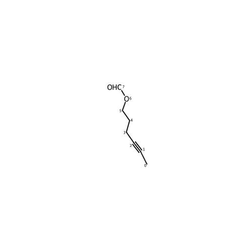 CC#CCCCOC=O